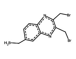 BCc1ccc2nc(CBr)c(CBr)nc2c1